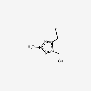 Cn1nc(CO)c(CF)n1